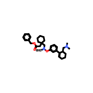 CN(C)CC1CCCC=C1c1cccc(ON(C=O)CC2(CC(=O)OCc3ccccc3)CCCCC2)c1